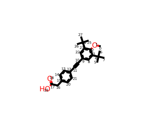 COc1c(C(C)(C)C)cc(C#Cc2ccc(CC(=O)O)cc2)cc1C(C)(C)C